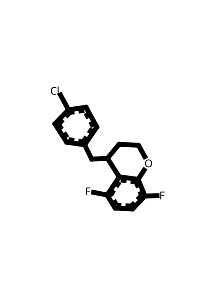 Fc1ccc(F)c2c1OCCC2Cc1ccc(Cl)cc1